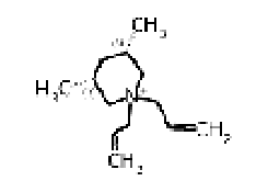 C=CC[N+]1(CC=C)C[C@H](C)C[C@H](C)C1